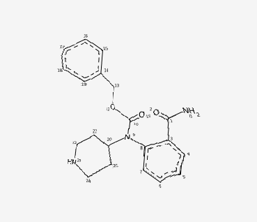 NC(=O)c1ccccc1N(C(=O)OCc1ccccc1)C1CCNCC1